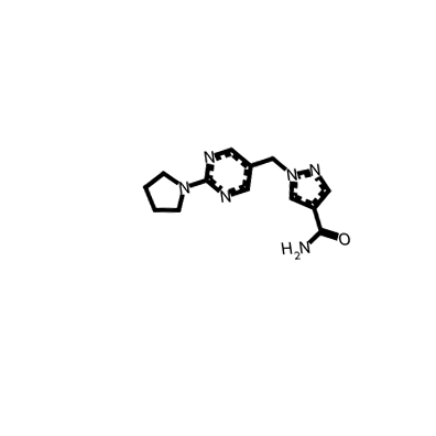 NC(=O)c1cnn(Cc2cnc(N3CCCC3)nc2)c1